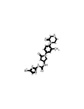 Cc1cc(N2CC(NC(=O)Oc3ncc(Br)s3)CC2=O)ccc1N1CCOCC1=O